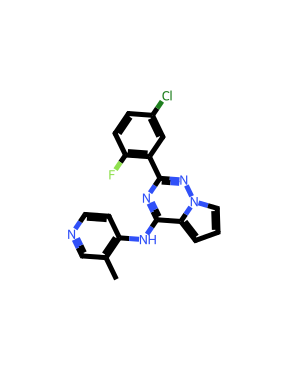 Cc1cnccc1Nc1nc(-c2cc(Cl)ccc2F)nn2cccc12